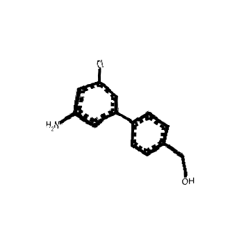 Nc1cc(Cl)cc(-c2ccc(CO)cc2)c1